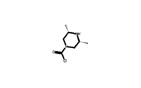 C[C@@H]1CN(C(=O)Cl)C[C@H](C)N1